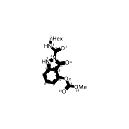 CCCCCCNC(=O)n1[nH]c2cccc(OC(=O)OC)c2c1=O